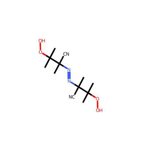 CC(C#N)(N=NC(C)(C#N)C(C)(C)OO)C(C)(C)OO